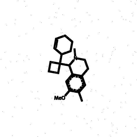 COc1cc2c(cc1C)CCN(C)C2C1(C2C=CCCC2)CCC1